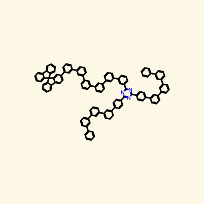 C1=C(c2cccc(-c3cccc(-c4ccccc4)c3)c2)C=C(c2ccc(-c3nc(-c4ccc(-c5cccc(-c6cccc(-c7cccc(-c8ccccc8)c7)c6)c5)cc4)nc(-c4cccc(-c5cccc(-c6cccc(-c7cccc(-c8cccc(-c9cccc(-c%10ccc%11c(c%10)C%10(c%12ccccc%12-c%12ccccc%12%10)c%10ccccc%10-%11)c9)c8)c7)c6)c5)c4)n3)cc2)CC1